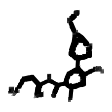 C/C=C\C(=N)NC(=O)c1cc(-c2cnc3c(c2)N3N=O)c(C)cc1F